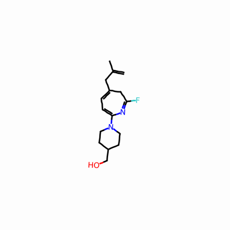 C=C(C)CC1=CC=C(N2CCC(CO)CC2)N=C(F)C1